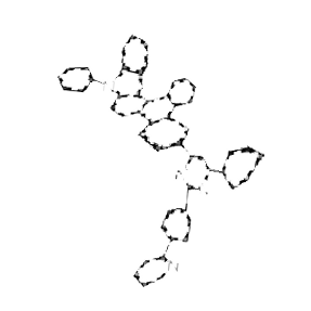 c1ccc(-c2cc(-c3ccc4c(c3)c3ccccc3c3c4ccc4c3c3ccccc3n4-c3ccccc3)nc(-c3ccc(-c4ccccn4)cc3)n2)cc1